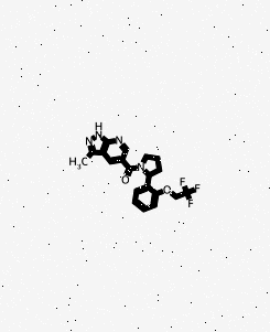 Cc1n[nH]c2ncc(C(=O)N3CCCC3c3ccccc3OCC(F)(F)F)cc12